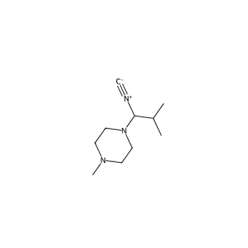 [C-]#[N+]C(C(C)C)N1CCN(C)CC1